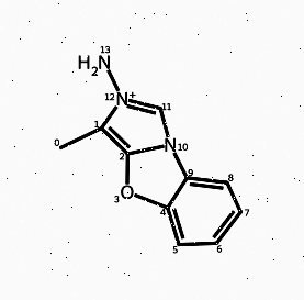 Cc1c2oc3ccccc3n2c[n+]1N